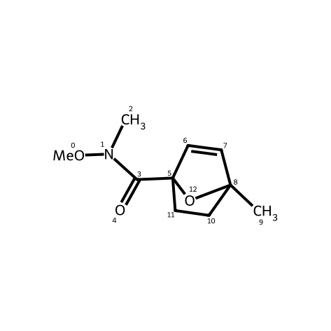 CON(C)C(=O)C12C=CC(C)(CC1)O2